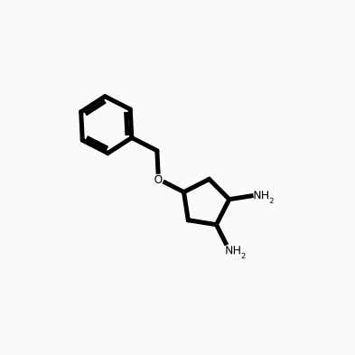 NC1CC(OCc2ccccc2)CC1N